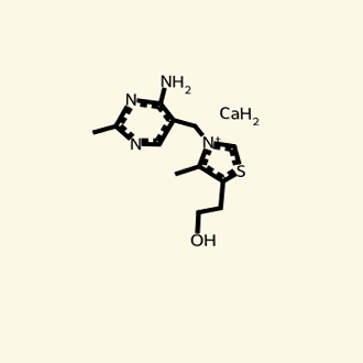 Cc1ncc(C[n+]2csc(CCO)c2C)c(N)n1.[CaH2]